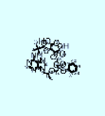 CC(Cn1cnc2c(N)ncnc21)OCP(=O)(OCOC(C(=O)O)C(OC(=O)C(C)(C)C)C(=O)O)Oc1ccccc1